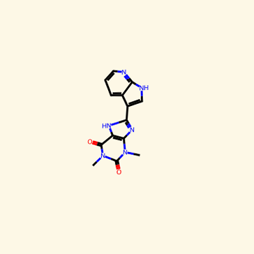 Cn1c(=O)c2[nH]c(-c3c[nH]c4ncccc34)nc2n(C)c1=O